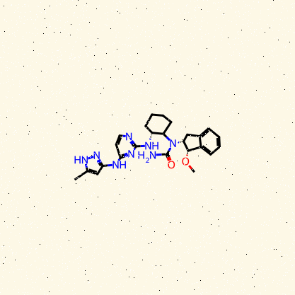 CO[C@H]1c2ccccc2C[C@H]1N(C(N)=O)C1CCCC[C@H]1Nc1nccc(Nc2cc(C)[nH]n2)n1